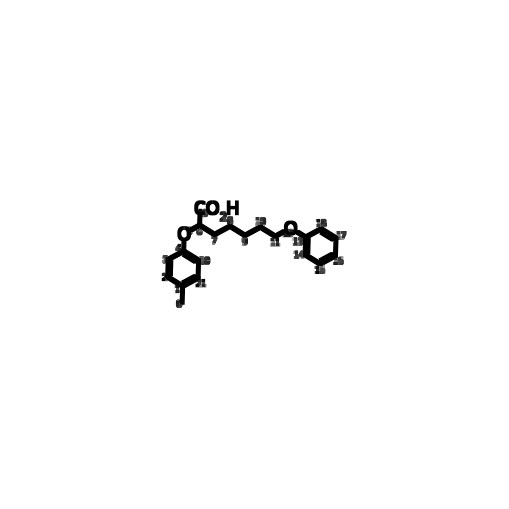 Cc1ccc(OC(CCCCCOc2ccccc2)C(=O)O)cc1